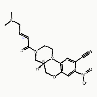 CN(C)C/C=C/C(=O)N1CCN2c3cc(C#N)c([N+](=O)[O-])cc3OC[C@@H]2C1